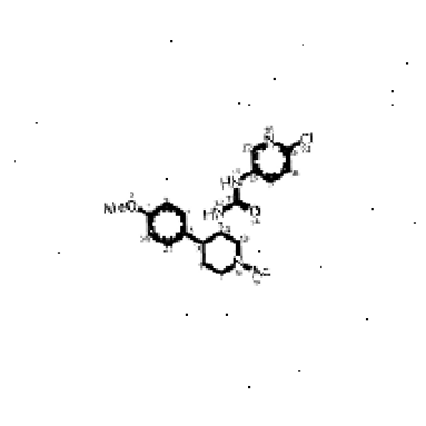 COc1ccc(C2CCN(C(C)=O)C[C@H]2NC(=O)Nc2ccc(Cl)nc2)cc1